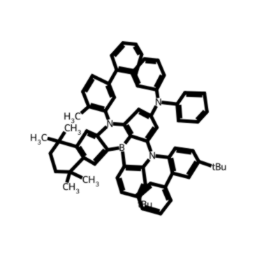 Cc1ccc(-c2ccccc2)cc1N1c2cc3c(cc2B2c4ccc(C(C)(C)C)cc4N(c4ccc(C(C)(C)C)cc4-c4ccccc4)c4cc(N(c5ccccc5)c5ccccc5)cc1c42)C(C)(C)CCC3(C)C